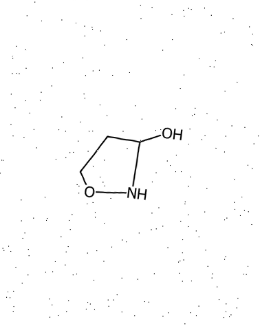 OC1CCON1